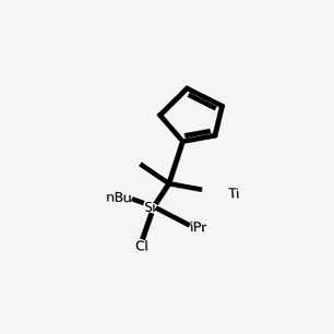 CCCC[Si](Cl)(C(C)C)C(C)(C)C1=CC=CC1.[Ti]